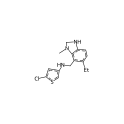 CCc1ccc2c(c1CNc1csc(Cl)c1)N(C)CN2